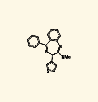 CNC1=Nc2ccccc2C(c2ccccc2)=NC1c1ccsc1